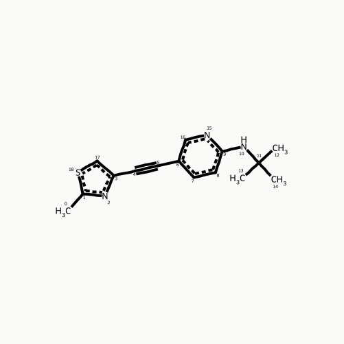 Cc1nc(C#Cc2ccc(NC(C)(C)C)nc2)cs1